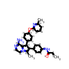 C=CC(=O)Nc1ccc(-c2c(-c3ccc(Oc4cccc(C)n4)cc3)c3c(N)nccn3c2C)cc1